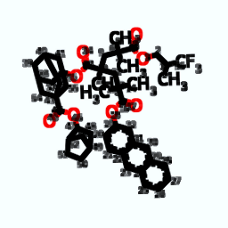 CC(COC(=O)C(C)(C)CC(C)(CC(C)(C)C(=O)Oc1ccc2cc3ccccc3cc2c1)C(=O)OC12CC3CC(C1)CC(C(=O)OC1CC4CCC1C4)(C3)C2)C(F)(F)F